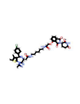 Cc1sc2c(c1C)C(c1ccc(Cl)cc1)=N[C@@H](CC(=O)NCCCCCCNC(=O)COc1cccc3c1C(=O)N(C1CCC(=O)NC1=O)C3=O)c1nnc(C)n1-2